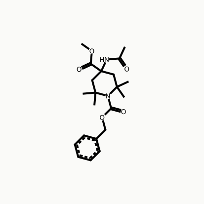 COC(=O)C1(NC(C)=O)CC(C)(C)N(C(=O)OCc2ccccc2)C(C)(C)C1